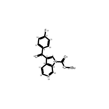 CC(C)(C)OC(=O)n1cc(C(=O)c2ccc(F)cc2)c2ccncc21